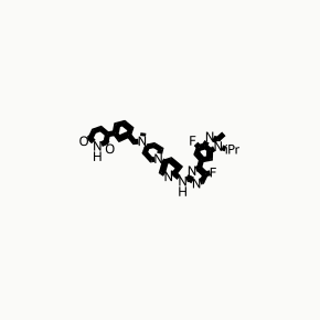 Cc1nc2c(F)cc(-c3nc(Nc4ccc(N5CCC(N(C)Cc6cccc(C7CCC(=O)NC7=O)c6)CC5)cn4)ncc3F)cc2n1C(C)C